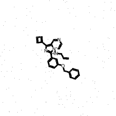 C=CCN[N+]12C=CN=CC1=C(C1=CC=C1)N=C2c1cccc(OCc2ccccc2)c1